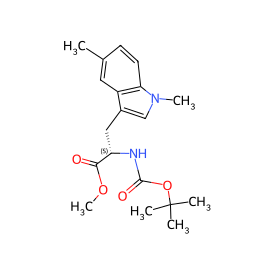 COC(=O)[C@H](Cc1cn(C)c2ccc(C)cc12)NC(=O)OC(C)(C)C